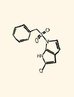 O=S(=O)(Cc1ccccc1)n1ccc2cc(Cl)[nH]c21